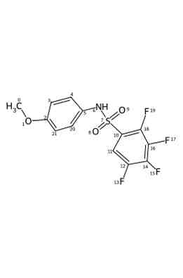 COc1ccc(NS(=O)(=O)c2cc(F)c(F)c(F)c2F)cc1